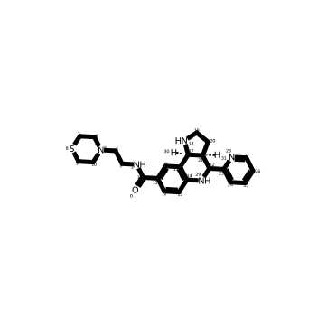 O=C(NCCN1CCSCC1)c1ccc2c(c1)[C@H]1NCC[C@H]1C(c1ccccn1)N2